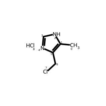 Cc1[nH]cnc1CCl.Cl